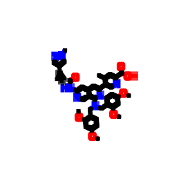 COc1ccc(CN(Cc2ccc(OC)cc2OC)c2nc(-c3cnc(C(=O)O)cc3C)cc3cc(NC(=O)[C@@H]4C[C@H]4c4cnn(C)c4)ncc23)c(OC)c1